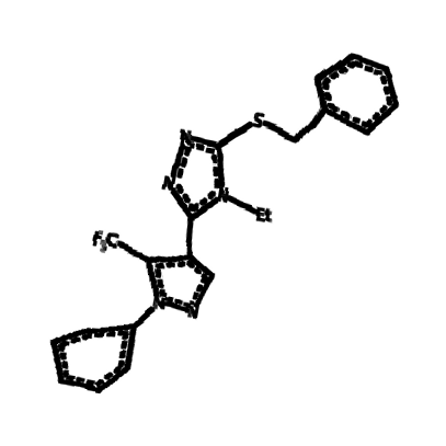 CCn1c(SCc2ccccc2)nnc1-c1cnn(-c2ccccc2)c1C(F)(F)F